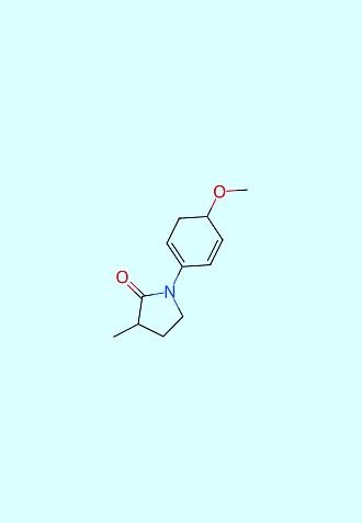 COC1C=CC(N2CCC(C)C2=O)=CC1